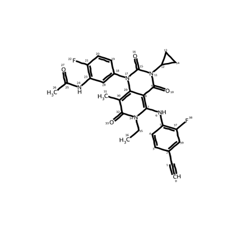 C#Cc1ccc(Nc2c3c(=O)n(C4CC4)c(=O)n(-c4ccc(F)c(NC(C)=O)c4)c3c(C)c(=O)n2CC)c(F)c1